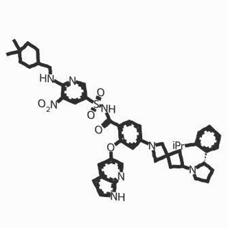 CC(C)c1ccccc1[C@@H]1CCCN1C1CC2(C1)CN(c1ccc(C(=O)NS(=O)(=O)c3cnc(NCC4CCC(C)(C)CC4)c([N+](=O)[O-])c3)c(Oc3cnc4[nH]ccc4c3)c1)C2